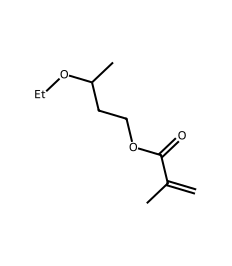 C=C(C)C(=O)OCCC(C)OCC